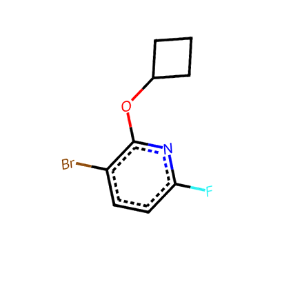 Fc1ccc(Br)c(OC2CCC2)n1